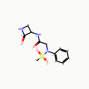 CS(=O)(=O)N(CC(=O)NC1CNC1=O)c1ccccc1